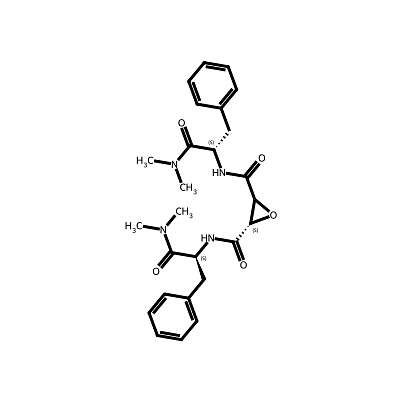 CN(C)C(=O)[C@H](Cc1ccccc1)NC(=O)C1O[C@@H]1C(=O)N[C@@H](Cc1ccccc1)C(=O)N(C)C